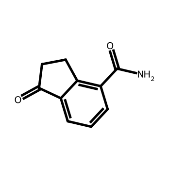 NC(=O)c1cccc2c1CCC2=O